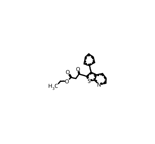 CCOC(=O)CC(=O)c1sc2ncccc2c1-c1ccccc1